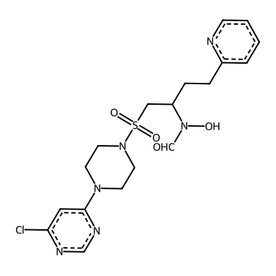 O=CN(O)C(CCc1ccccn1)CS(=O)(=O)N1CCN(c2cc(Cl)ncn2)CC1